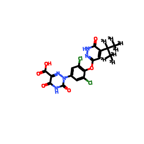 [2H]C([2H])([2H])C([2H])(c1cc(Oc2c(Cl)cc(-n3nc(C(=O)O)c(=O)[nH]c3=O)cc2Cl)n[nH]c1=O)C([2H])([2H])[2H]